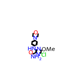 COc1nc(Nc2ccc(N3CCOCC3)cc2)c(C(N)=O)nc1Cl